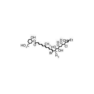 CC/C=C/[C@@H](O)[C@@H](Cl)[C@H](O)CC(O)[C@@H](O)[C@H](O)[C@H](C)/C(Br)=C/C=C/C=C(C)/C=C/C=C/C(=O)O[C@@H]1C[C@@H](C(=O)O)CC[C@@H]1O